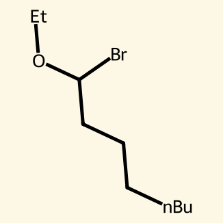 CCCCCCCC(Br)OCC